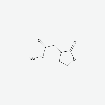 CCCCOC(=O)CN1CCOC1=O